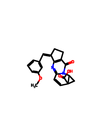 COc1cccc(/C=C2/CCc3c2nc2n(c3=O)C3CC3(C(=O)O)C=C2)c1